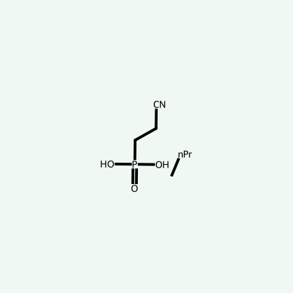 CCCC.N#CCCP(=O)(O)O